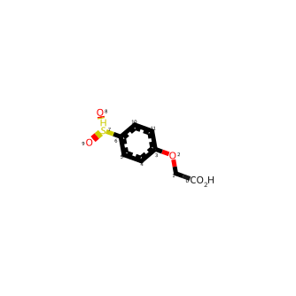 O=C(O)COc1ccc([SH](=O)=O)cc1